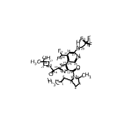 CCCC1CCC(C)N1C(=O)c1nc(C(=O)N2CC(C)(O)C2)sc1-c1cnc(NCC(F)(F)F)cc1C(F)F